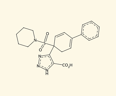 O=C(O)c1[nH]nnc1C1(S(=O)(=O)N2CCCCC2)C=CC(c2ccccc2)=CC1